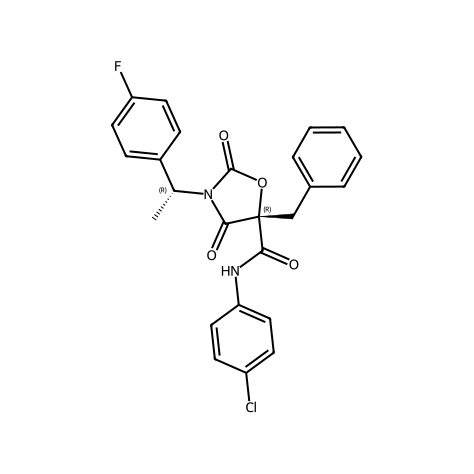 C[C@H](c1ccc(F)cc1)N1C(=O)O[C@](Cc2ccccc2)(C(=O)Nc2ccc(Cl)cc2)C1=O